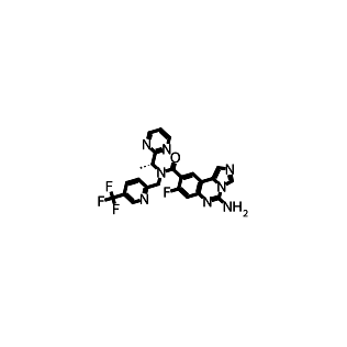 C[C@H](c1ncccn1)N(Cc1ccc(C(F)(F)F)cn1)C(=O)c1cc2c(cc1F)nc(N)n1cncc21